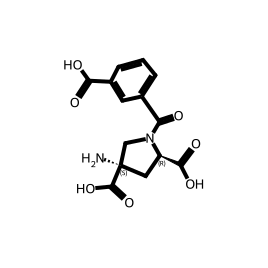 N[C@@]1(C(=O)O)C[C@H](C(=O)O)N(C(=O)c2cccc(C(=O)O)c2)C1